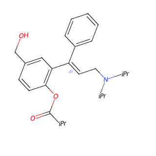 CC(C)C(=O)Oc1ccc(CO)cc1/C(=C/CN(C(C)C)C(C)C)c1ccccc1